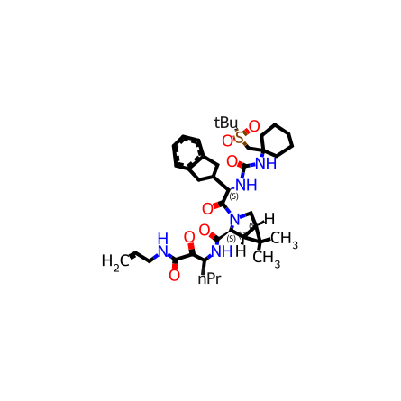 C=CCNC(=O)C(=O)C(CCC)NC(=O)[C@@H]1[C@@H]2[C@H](CN1C(=O)[C@@H](NC(=O)NC1(CS(=O)(=O)C(C)(C)C)CCCCC1)C1Cc3ccccc3C1)C2(C)C